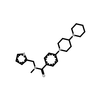 CN(Cc1cccs1)C(=O)c1ccc(N2CCC(N3CCCCC3)CC2)cc1